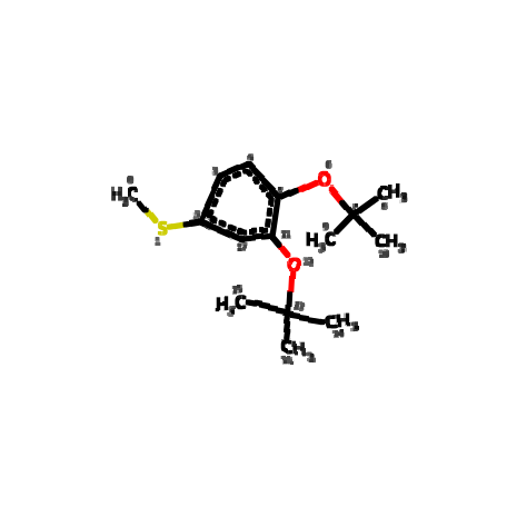 CSc1ccc(OC(C)(C)C)c(OC(C)(C)C)c1